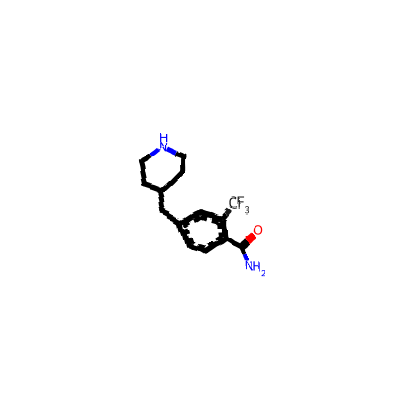 NC(=O)c1ccc(CC2CCNCC2)cc1C(F)(F)F